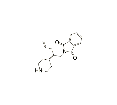 C=CCC(CN1C(=O)c2ccccc2C1=O)=C1CCNCC1